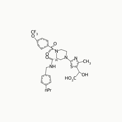 CCCc1ccc(CNC(=O)[C@H]2CN(c3nc(C)c(C(O)C(=O)O)s3)CCN2S(=O)(=O)c2ccc(OC(F)(F)F)cc2)cc1